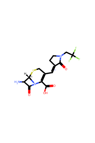 NC1C(=O)N2C(C(=O)O)=C(/C=C3\CCN(CC(F)(F)F)C3=O)CS[C@@H]12